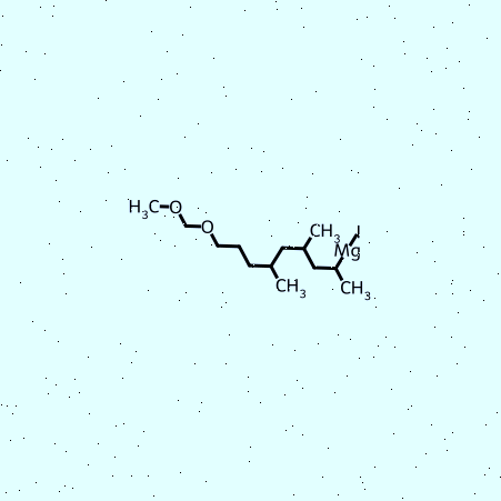 COCOCCCC(C)CC(C)C[CH](C)[Mg][I]